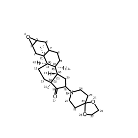 C[C@]12CC3OC3CC1CC[C@@H]1[C@H]2CC[C@]2(C)C(=O)C(N3CCC4(CC3)OCCO4)C[C@@H]12